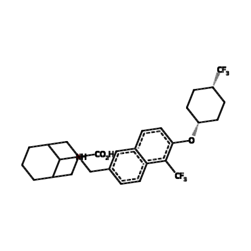 O=C(O)C1CC2CCCC(C1)C2NCc1ccc2c(C(F)(F)F)c(O[C@H]3CC[C@@H](C(F)(F)F)CC3)ccc2c1